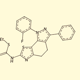 CCSC(=O)Nc1nc2c(s1)-c1c(c(-c3ccccc3)nn1-c1ccccc1F)CC2